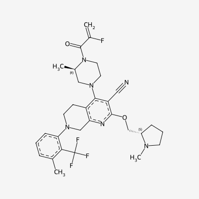 C=C(F)C(=O)N1CCN(c2c(C#N)c(OC[C@@H]3CCCN3C)nc3c2CCN(c2cccc(C)c2C(F)(F)F)C3)C[C@H]1C